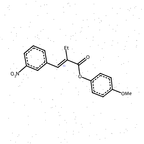 CC/C(=C\c1cccc([N+](=O)[O-])c1)C(=O)Oc1ccc(OC)cc1